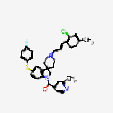 Cc1ccc(/C=C/CN2CCC3(CC2)CN(C(=O)c2ccnc(C)c2)c2ccc(Sc4ccc(F)cc4)cc23)c(Cl)c1